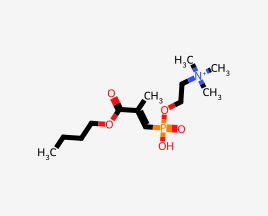 CCCCOC(=O)C(C)=CP(=O)(O)OCC[N+](C)(C)C